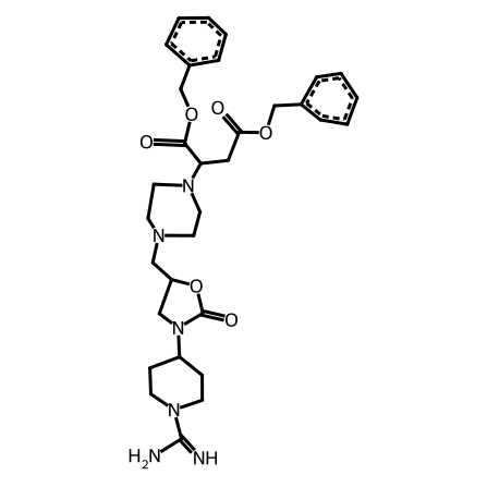 N=C(N)N1CCC(N2CC(CN3CCN(C(CC(=O)OCc4ccccc4)C(=O)OCc4ccccc4)CC3)OC2=O)CC1